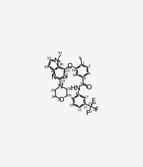 Cc1ccc(C(=O)Nc2cccc(C(F)(F)F)c2)cc1Oc1nc(N2CCOCC2)nc2ccn(C)c12